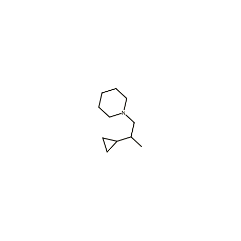 CC(CN1CCCCC1)C1CC1